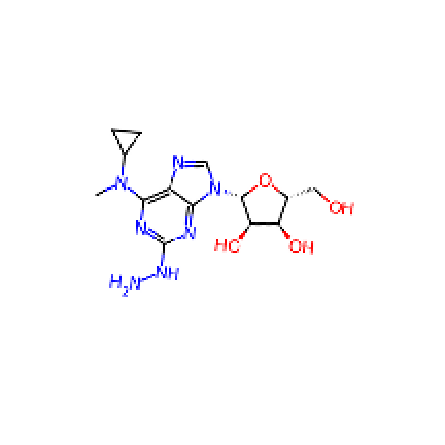 CN(c1nc(NN)nc2c1ncn2[C@@H]1O[C@H](CO)[C@@H](O)[C@H]1O)C1CC1